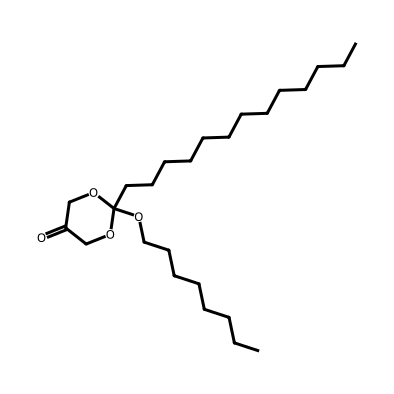 CCCCCCCCCCCCCC1(OCCCCCCCC)OCC(=O)CO1